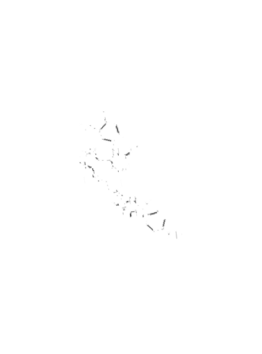 Cc1ccc(S(=O)(=O)N=S(C)(=O)NCCNc2nonc2-c2noc(=O)n2-c2ccc(F)c(Br)c2)cc1